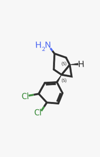 NC1C[C@@H]2C[C@]2(C2=CC(Cl)C(Cl)C=C2)C1